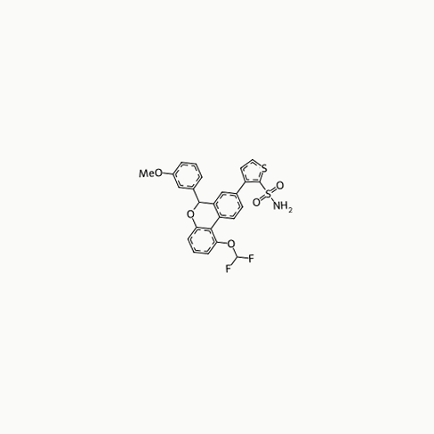 COc1cccc(C2Oc3cccc(OC(F)F)c3-c3ccc(-c4ccsc4S(N)(=O)=O)cc32)c1